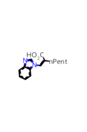 CCCCC/C(=C/n1cnc2ccccc21)C(=O)O